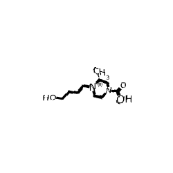 C[C@@H]1CN(C(=O)O)CCN1CCCCO